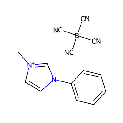 C[n+]1ccn(-c2ccccc2)c1.N#C[B-](C#N)(C#N)C#N